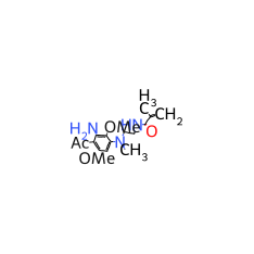 C=C(C)C(=O)NCCN(C)c1c(OC)cc(C(C)=O)c(N)c1OC